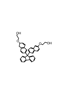 OCCOc1ccc2cc(C3(c4ccc5c(c4)C=CC(OCCO)C5)c4ccccc4-c4ccccc43)ccc2c1